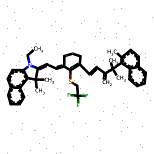 C=C(/C=C/C1=C(SCC(F)(F)F)C(=C/C=C2/N(CC)c3ccc4ccccc4c3C2(C)C)/CCC1)C(C)(C)c1c(C)ccc2ccccc12